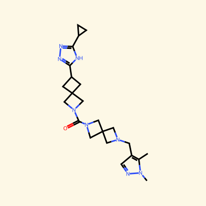 Cc1c(CN2CC3(C2)CN(C(=O)N2CC4(CC(c5nnc(C6CC6)[nH]5)C4)C2)C3)cnn1C